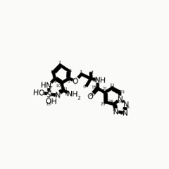 CC(C)(COc1cccc2c1C(N)=NS(O)(O)N2)NC(=O)c1ccn2nnnc2c1